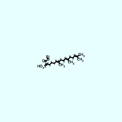 CCO[PH](=O)C(CCC/C=C(\C)CC/C=C(\C)CCC=C(C)C)S(=O)(=O)O